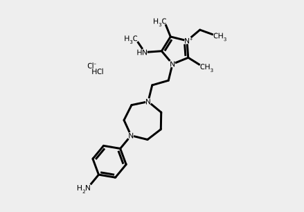 CC[n+]1c(C)c(NC)n(CCN2CCCN(c3ccc(N)cc3)CC2)c1C.Cl.[Cl-]